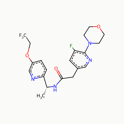 C[C@@H](NC(=O)Cc1cnc(N2CCOCC2)c(F)c1)c1ccc(OCC(F)(F)F)cn1